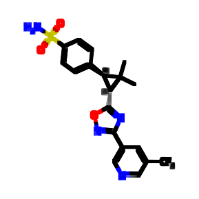 CC1(C)[C@H](c2ccc(S(N)(=O)=O)cc2)[C@H]1c1nc(-c2cncc(C(F)(F)F)c2)no1